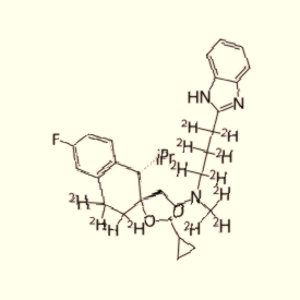 [2H]C([2H])([2H])N(CC[C@]1(OC(=O)C2CC2)[C@@H](C(C)C)c2ccc(F)cc2C([2H])([2H])C1([2H])[2H])C([2H])([2H])C([2H])([2H])C([2H])([2H])c1nc2ccccc2[nH]1